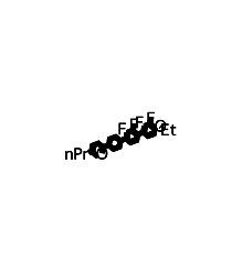 CCCC1=CCC(C2CCC(c3ccc(-c4ccc(OCC)c(F)c4F)c(F)c3F)CC2)OC1